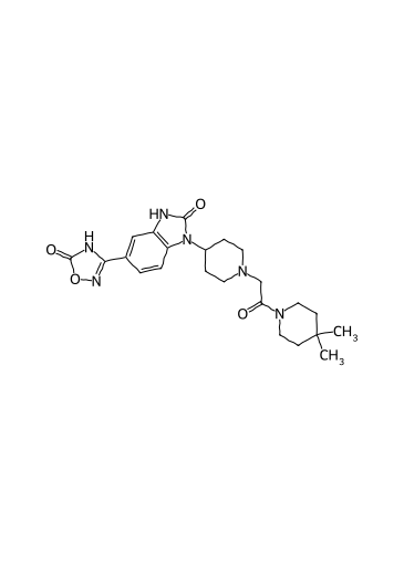 CC1(C)CCN(C(=O)CN2CCC(n3c(=O)[nH]c4cc(-c5noc(=O)[nH]5)ccc43)CC2)CC1